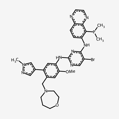 COc1cc(CN2CCCOCC2)c(-c2cnn(C)c2)cc1Nc1ncc(Br)c(Nc2ccc3nccnc3c2P(C)C)n1